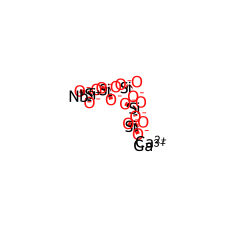 O=[Si]([O-])[O-].O=[Si]([O-])[O-].O=[Si]([O-])[O-].O=[Si]([O-])[O-].O=[Si]([O-])[O-].[Ca+2].[Ga+3].[Nb+5]